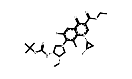 CCOC(=O)c1cn([C@@H]2C[C@@H]2F)c2c(C)c(N3C[C@H](CF)[C@H](NC(=O)OC(C)(C)C)C3)c(F)cc2c1=O